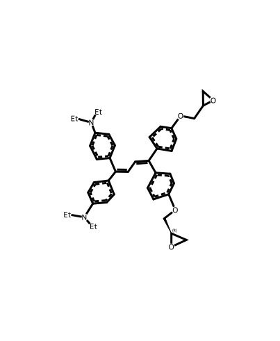 CCN(CC)c1ccc(C(=CC=C(c2ccc(OCC3CO3)cc2)c2ccc(OC[C@H]3CO3)cc2)c2ccc(N(CC)CC)cc2)cc1